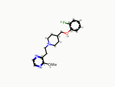 COc1nccnc1CCN1CCC(COc2ccccc2F)CC1